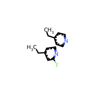 CCc1ccnc(F)c1.CCc1ccncc1